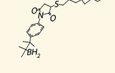 BC(C)(C)C(C)(C)c1ccc(N2C(=O)CC(SCCCCCCCC)C2=O)cc1